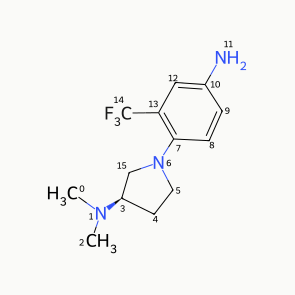 CN(C)[C@@H]1CCN(c2ccc(N)cc2C(F)(F)F)C1